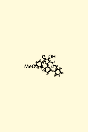 COc1ccc(N2C(=O)C(O)=C(CC=Cc3ccccc3)C2c2ccccc2F)cc1